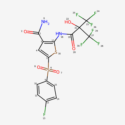 NC(=O)c1cc(S(=O)(=O)c2ccc(F)cc2)sc1NC(=O)C(O)(C(F)(F)F)C(F)(F)F